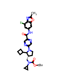 Cc1nc2c(F)cc(NC(=O)c3cnc(N4CC[C@H](CN(C(=O)OC(C)(C)C)C5CC5)C4C4CCC4)cn3)cc2o1